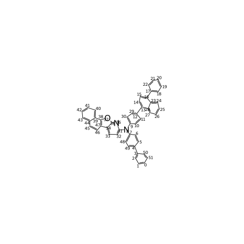 c1ccc(-c2ccc(N(c3ccc(-c4ccc(-c5ccccc5)c5ccccc45)cc3)c3ccc4c(n3)oc3c5ccccc5ccc43)cc2)cc1